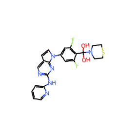 OC(O)(c1c(F)cc(-n2ccc3cnc(Nc4ccccn4)nc32)cc1F)N1CCSCC1